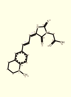 CN1CCCc2cc(/C=C/C=C3/OC(=S)N(CC(=O)O)C3=O)ccc21